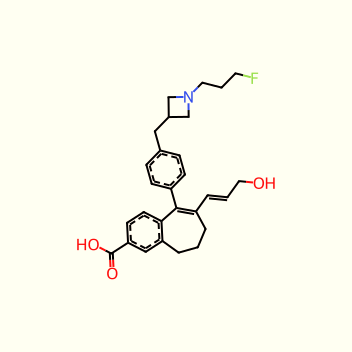 O=C(O)c1ccc2c(c1)CCCC(C=CCO)=C2c1ccc(CC2CN(CCCF)C2)cc1